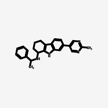 Cc1ncc(-c2ccc3c4c([nH]c3c2)C(NC(C)c2ccccc2)CCC4)cn1